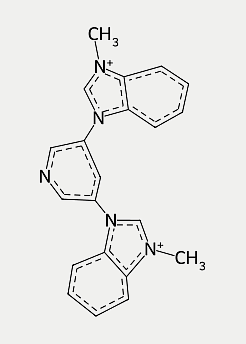 C[n+]1cn(-c2cncc(-n3c[n+](C)c4ccccc43)c2)c2ccccc21